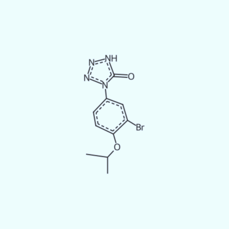 CC(C)Oc1ccc(-n2nn[nH]c2=O)cc1Br